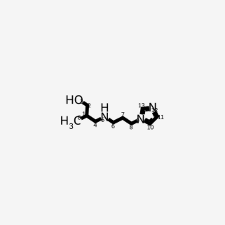 CC(CO)CNCCCn1ccnc1